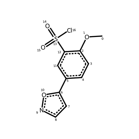 COc1ccc(-c2ccno2)cc1S(=O)(=O)Cl